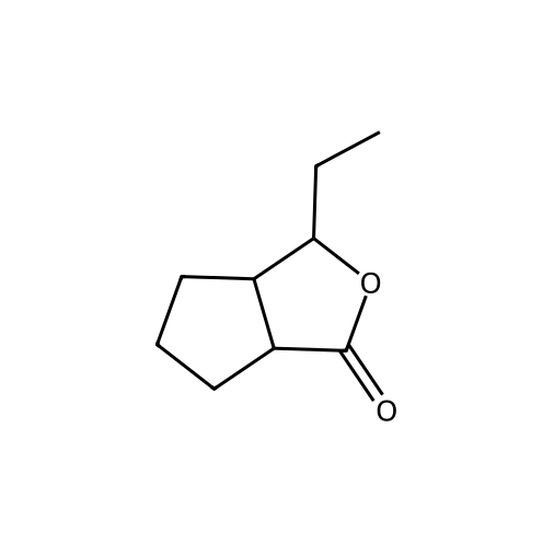 CCC1OC(=O)C2CCCC12